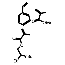 C=C(C)C(=O)OC.C=C(C)C(=O)OCC(CC)CCCC.C=Cc1ccccc1